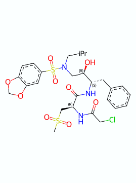 CC(C)CN(C[C@@H](O)[C@H](Cc1ccccc1)NC(=O)[C@H](CS(C)(=O)=O)NC(=O)CCl)S(=O)(=O)c1ccc2c(c1)OCO2